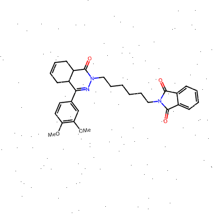 COc1ccc(C2=NN(CCCCCCN3C(=O)c4ccccc4C3=O)C(=O)C3CC=CCC23)cc1OC